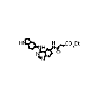 CCOC(=O)C=CC(=O)Nc1ccc2ncnc(Nc3ccc4[nH]ccc4c3)c2c1